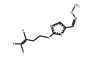 CO/N=C\c1cnc(SCCC(F)=C(F)F)s1